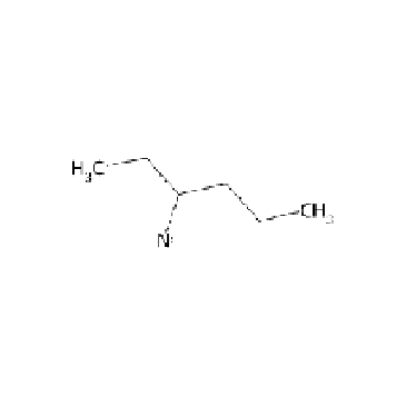 CCCC([N])CC